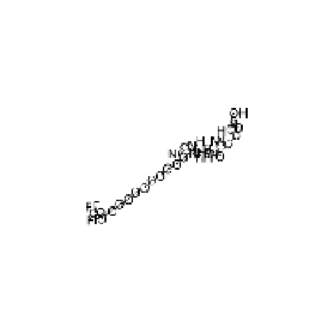 CCCN(CC#CCNC(=Nc1cccc(C#N)c1)NCCOCCOCCOCCOCCOCCOCCOCCOCCOCCOCCC(=O)Oc1c(F)c(F)cc(F)c1F)C(=O)C1=Cc2ccc(-c3cccc(S(=O)(=O)N4CC(CO)C4)c3)cc2NC(N)=C1